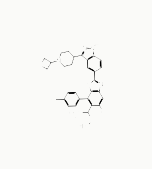 CCn1nc(C2CCN(C3COC3)CC2)c2cc(-c3nc4cc(C)c(C(OC(C)(C)C)C(=O)O)c(-c5ccc(Cl)cc5)c4s3)ccc21